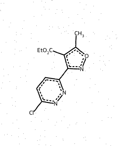 CCOC(=O)c1c(-c2ccc(Cl)nn2)noc1C